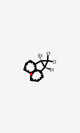 CC[C@]1(c2ccccc2)C(Cl)(Cl)[C@]1(CC)c1ccccc1